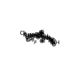 CC1(C)CCC(c2ccc(Cl)cc2)=C(CN2CCN(c3ccc(C(=O)NS(=O)(=O)c4ccc(N[C@H](CCN5CCN(Cc6cnc(N7CCC(=O)NC7=O)nc6)CC5)CSc5ccccc5)c(S(=O)(=O)C(F)(F)F)c4)cc3)CC2)C1